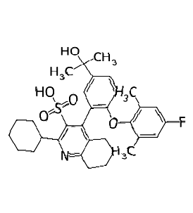 Cc1cc(F)cc(C)c1Oc1ccc(C(C)(C)O)cc1-c1c2c(nc(C3CCCCC3)c1S(=O)(=O)O)CCCC2